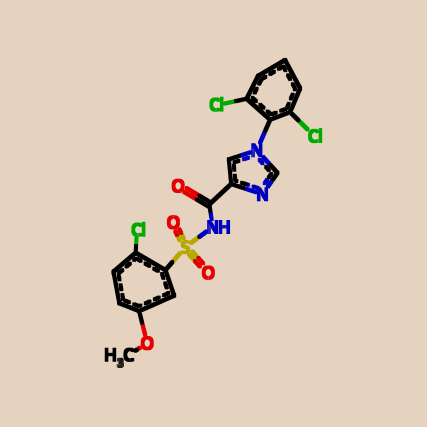 COc1ccc(Cl)c(S(=O)(=O)NC(=O)c2cn(-c3c(Cl)cccc3Cl)cn2)c1